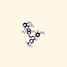 CC(=O)N1CCC(C(=O)N(CCCN2C[C@@]3(C)CN(C(C)c4c(C)ccnc4C)C[C@@]3(C)C2)c2ccc(C)c(Cl)c2)CC1